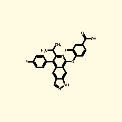 CC(C)c1nc(Oc2ccc(C(=O)O)cc2F)c2cc3[nH]ncc3cc2c1-c1ccc(F)cc1